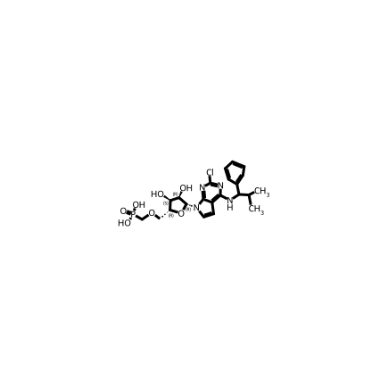 CC(C)C(Nc1nc(Cl)nc2c1ccn2[C@@H]1O[C@H](COCP(=O)(O)O)[C@@H](O)[C@H]1O)c1ccccc1